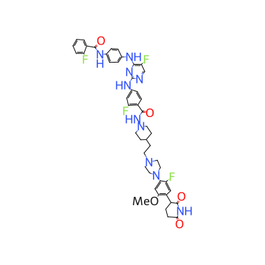 COc1cc(N2CCN(CCC3CCN(NC(=O)c4ccc(Nc5ncc(F)c(Nc6ccc(NC(=O)c7ccccc7F)cc6)n5)cc4F)CC3)CC2)c(F)cc1C1CCC(=O)NC1=O